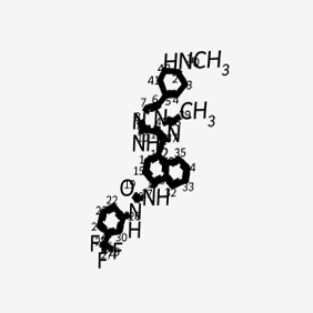 CNC1CC=C(c2cnc(N)c3c(-c4ccc(NC(=O)Nc5cccc(C(F)(F)F)c5)c5ccccc45)nc(C)n23)CC1